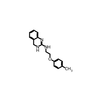 Cc1ccc(OCCNC2=Nc3ccccc3CN2)cc1